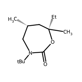 CC[C@@]1(C)C[C@@H](C)CN(C(C)(C)C)C(=O)O1